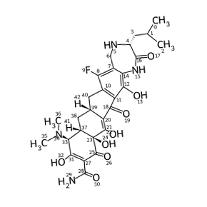 CC(C)C[C@H]1NCc2c(F)c3c(c(O)c2NC1=O)C(=O)C1=C(O)[C@]2(O)C(=O)C(C(N)=O)=C(O)[C@@H](N(C)C)[C@@H]2C[C@@H]1C3